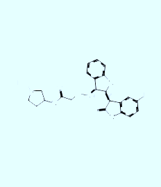 CN1CCC(NC(=O)CO/N=C2/C(=C3\C(=O)Nc4ccc(F)cc43)Nc3ccccc32)C1